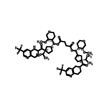 CO[C@H]1COCC[C@H]1N(OC(=O)CCC(=O)ON([C@@H]1CC[C@@](C(=O)N2CCc3ncc(C(F)(F)F)cc3C2)(C(C)C)C1)[C@@H]1CCOC[C@@H]1OC)[C@@H]1CC[C@@](C(=O)C2CCc3ncc(C(F)(F)F)cc3N2)(C(C)C)C1